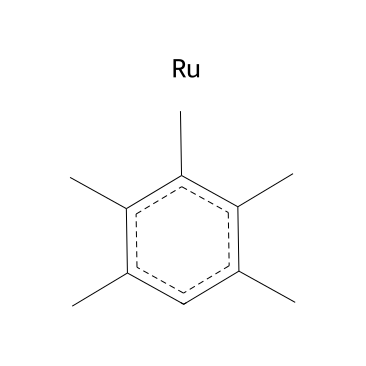 Cc1cc(C)c(C)c(C)c1C.[Ru]